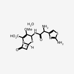 COC1=C(C(=O)O)N2C(=O)C[C@@H]2SC1NC(=O)C(N)c1csc(N)n1.O